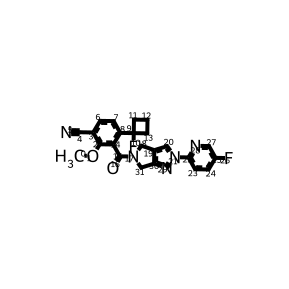 COc1c(C#N)ccc(C2(F)CCC2)c1C(=O)N1Cc2cn(-c3ccc(F)cn3)nc2C1